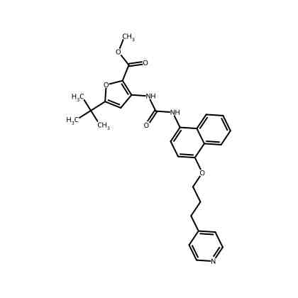 COC(=O)c1oc(C(C)(C)C)cc1NC(=O)Nc1ccc(OCCCc2ccncc2)c2ccccc12